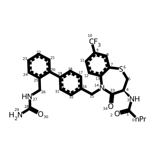 CCCC(=O)N[C@@H]1CSc2cc(C(F)(F)F)ccc2N(Cc2ccc(-c3ccccc3CNC(N)=O)cc2)C1=O